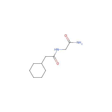 NC(=O)CNC(=O)CC1CCCCC1